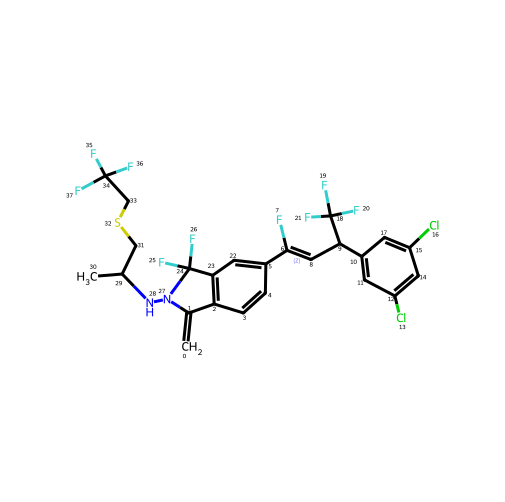 C=C1c2ccc(/C(F)=C/C(c3cc(Cl)cc(Cl)c3)C(F)(F)F)cc2C(F)(F)N1NC(C)CSCC(F)(F)F